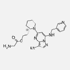 CCc1cnn2c(NCc3cccnc3)cc(N3CCCC[C@H]3CCOC(=O)CN)nc12